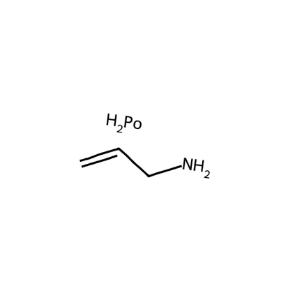 C=CCN.[PoH2]